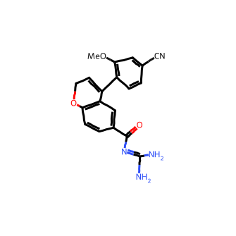 COc1cc(C#N)ccc1C1=CCOc2ccc(C(=O)N=C(N)N)cc21